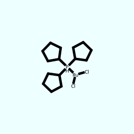 [Cl][Ru]([Cl])[PH](C1CCCC1)(C1CCCC1)C1CCCC1